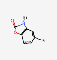 CCn1c(=O)oc2ccc(C(C)C)cc21